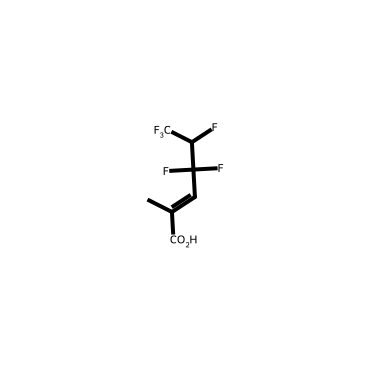 CC(=CC(F)(F)C(F)C(F)(F)F)C(=O)O